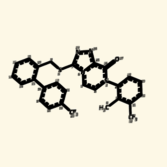 Cc1c(-n2ccn3c(SCc4ccccc4-c4ccc(C(F)(F)F)cc4)nnc3c2=O)cccc1C(F)(F)F